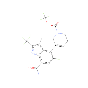 Cc1c(C(F)(F)F)[nH]c2c(C(N)=O)cc(F)c(C3=CCCN(C(=O)OC(F)(F)F)C3)c12